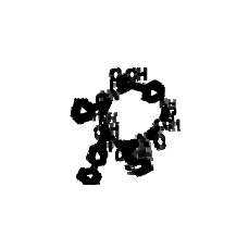 O=C1C[C@@H](O)C(=O)Nc2ccc(cc2)C[C@@H](C(=O)O)NC(=O)[C@@H](Cc2ccccc2)NC(=O)[C@H](Cc2ccc(-c3ccccc3)cc2)NC(=O)[C@H](CC2CC=CS2)N1